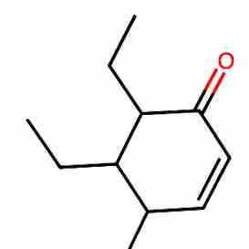 CCC1C(=O)C=CC(C)C1CC